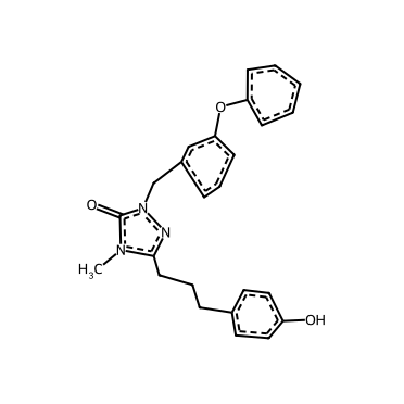 Cn1c(CCCc2ccc(O)cc2)nn(Cc2cccc(Oc3ccccc3)c2)c1=O